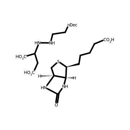 CCCCCCCCCCCCNNC(CC(=O)O)C(=O)O.O=C(O)CCCC[C@@H]1SC[C@@H]2NC(=O)N[C@@H]21